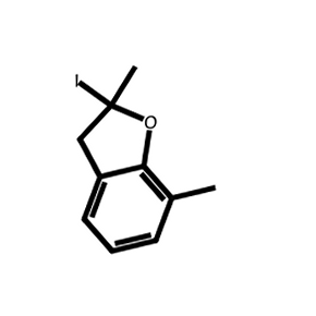 Cc1cccc2c1OC(C)(I)C2